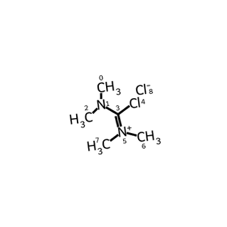 CN(C)C(Cl)=[N+](C)C.[Cl-]